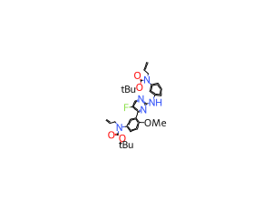 C=CCN(C(=O)OC(C)(C)C)c1cccc(Nc2ncc(F)c(-c3cc(N(CC=C)C(=O)OC(C)(C)C)ccc3OC)n2)c1